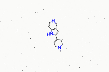 CN1CC=C(c2cc3cnccc3[nH]2)CC1